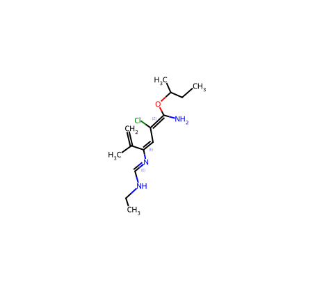 C=C(C)C(=C\C(Cl)=C(/N)OC(C)CC)/N=C/NCC